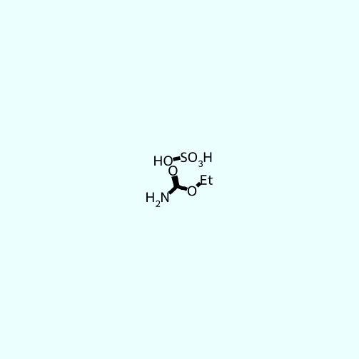 CCOC(N)=O.O=S(=O)(O)O